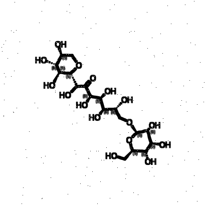 O=C(C(O)[C@H]1OC[C@H](O)[C@@H](O)[C@@H]1O)[C@H](O)[C@@H](O)[C@H](O)[C@H](O)CO[C@@H]1O[C@H](CO)[C@@H](O)[C@H](O)[C@H]1O